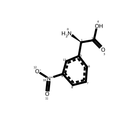 N[C@@H](C(=O)O)c1cccc([N+](=O)[O-])c1